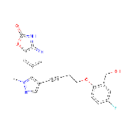 Cn1ncc(C#CCCOc2ccc(F)cc2CO)c1-c1cnc2[nH]c(=O)oc2c1